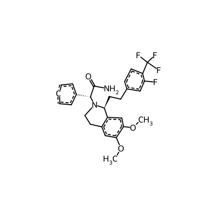 COc1cc2c(cc1OC)[C@H](CCc1ccc(C(F)(F)F)c(F)c1)N([C@@H](C(N)=O)c1ccccc1)CC2